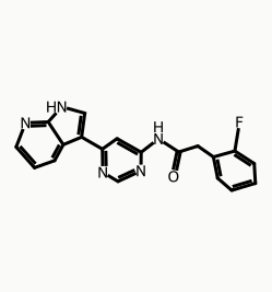 O=C(Cc1ccccc1F)Nc1cc(-c2c[nH]c3ncccc23)ncn1